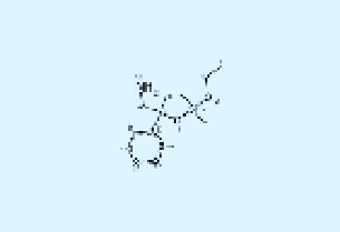 CCO[Si](C)(C)OC(C)(CN)c1ccccc1